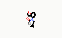 CCC(=O)N(CC1CC1)c1cccc2c1CCO2